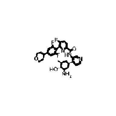 C[C@H]1C[C@@H](c2ccncc2NC(=O)c2ccc(F)c(-c3c(F)cc(C4CCOCC4)cc3F)n2)C[C@@H](N)[C@@H]1O